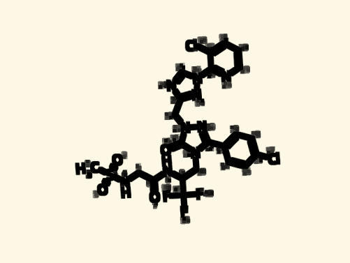 CS(=O)(=O)NCC(=O)NC(Cn1c(-c2ccc(Cl)cc2)nn(Cc2ncn(-c3ncccc3Cl)n2)c1=O)C(F)(F)F